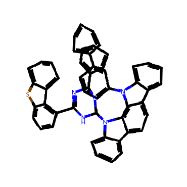 c1ccc(C2=NC(n3c4ccccc4c4ccc5c6ccccc6n(-c6cccc(-c7ccccc7)c6)c5c43)NC(c3cccc4sc5ccccc5c34)=N2)cc1